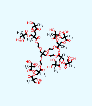 CC(CO)(CO)C(=O)CCC(C)(COC(=O)C(C)(CO)CO)C(=O)OCCOCC(COCCOC(=O)C(C)(COC(=O)C(C)(CO)CO)COC(=O)C(C)(CO)CO)(COCCOC(=O)C(C)(COC(=O)C(C)(CO)CO)COC(=O)C(C)(CO)CO)COCCOC(=O)C(C)(COC(=O)C(C)(CO)CO)COC(=O)C(C)(CO)CO